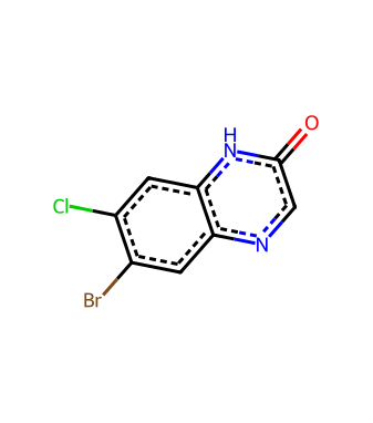 O=c1cnc2cc(Br)c(Cl)cc2[nH]1